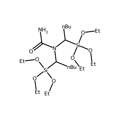 CCCCC(N(C(N)=O)C(CCCC)[Si](OCC)(OCC)OCC)[Si](OCC)(OCC)OCC